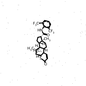 C[C@H]1C[C@H]2SC(=O)C=C[C@]2(C)[C@H]2CC[C@]3(C)[C@@H](C(=O)Nc4c(C(F)(F)F)cccc4C(F)(F)F)CC[C@H]3[C@H]12